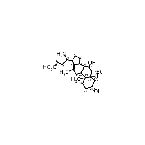 CC[C@H]1C(O)C2C3CC[C@H]([C@H](C)CCC(=O)O)C3=C(C)CC2[C@@]2(C)CC[C@@H](O)C[C@@H]12